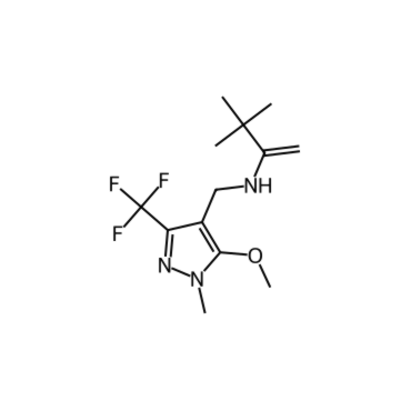 C=C(NCc1c(C(F)(F)F)nn(C)c1OC)C(C)(C)C